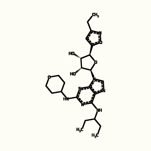 CCc1cc([C@H]2O[C@@H](n3cnc4c(NC(CC)CC)nc(NC5CCOCC5)nc43)[C@H](O)[C@@H]2O)on1